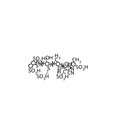 Cc1cc(S(=O)(=O)O)c2nc3c(C#N)c(C)c(N=Nc4cc(C)c(N=Nc5cc(CO)c(N=Nc6nc7c(S(=O)(=O)O)cc8ccc(S(=O)(=O)O)cc8c7s6)cc5SCCCS(=O)(=O)O)cc4OCCCS(=O)(=O)O)c(O)n3c2c1